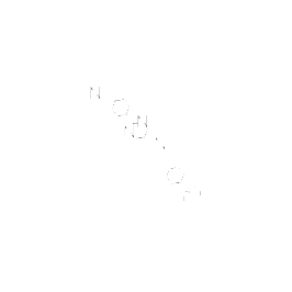 Cc1c(CCN2CCc3nc(-c4ccc(C#N)cc4)ncc3C2)ccc2c1COC2=O